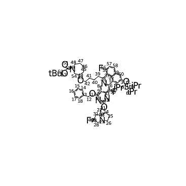 CC(C)[Si](Oc1cc(-c2ncc3c(OCc4ccccc4)nc(OC[C@@]45CCCN4C[C@H](F)C5)nc3c2F)c2c(CCCCCOC3CCCCN(C(=O)OC(C)(C)C)C3)c(F)ccc2c1)(C(C)C)C(C)C